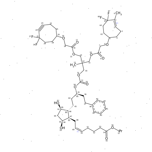 C/C1=C\CCC(OCC(=O)OCC(C)(COC(=O)COC2CCC#CC(F)(F)CC2)COC(=O)O[C@@H](CCc2ccccc2)CC[C@@H]2[C@@H](C/C=C\CCCC(=O)OC(C)C)[C@@H](O)C[C@H]2O)CCC1(F)F